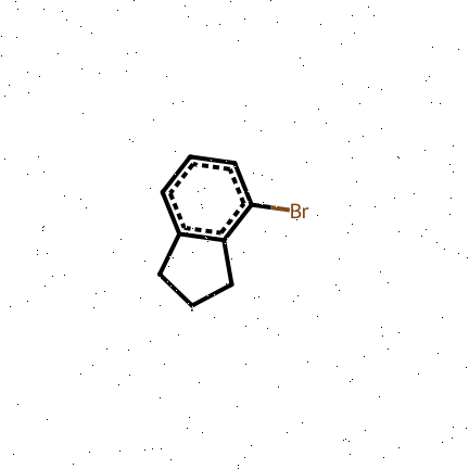 Brc1cccc2c1C[CH]C2